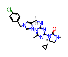 Cc1nc(N[C@@H](C)c2cn(Cc3ccc(Cl)cc3)cn2)nc(N2C(=O)N(C)C[C@@H]2C2CC2)n1